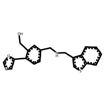 OCc1cc(CNCc2csc3ccccc23)ccc1-c1cnco1